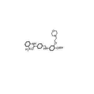 COc1ccc(NCc2ccc(C(=O)Nc3ccccc3N)cc2)cc1OCCN1CCOCC1